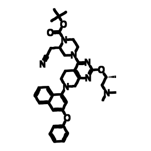 C[C@H](CN(C)C)Oc1nc2c(c(N3CCN(C(=O)OC(C)(C)C)C(CC#N)C3)n1)CCN(c1cc(Oc3ccccc3)cc3ccccc13)C2